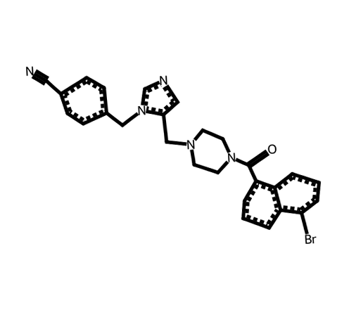 N#Cc1ccc(Cn2cncc2CN2CCN(C(=O)c3cccc4c(Br)cccc34)CC2)cc1